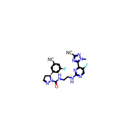 Cn1nc(C#N)nc1-c1nc(NCCNC(=O)N2N=CC[C@H]2c2cc(F)cc(C#N)c2)ncc1F